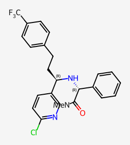 CNC(=O)[C@H](N[C@H](CCc1ccc(C(F)(F)F)cc1)c1ccc(Cl)nc1)c1ccccc1